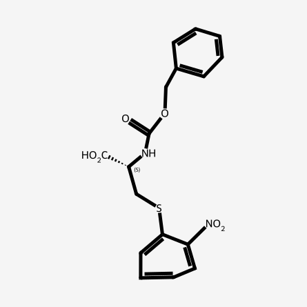 O=C(N[C@H](CSc1ccccc1[N+](=O)[O-])C(=O)O)OCc1ccccc1